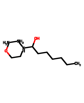 CCCCCCC(O)[SiH]1CCO[SiH2][SiH2]1